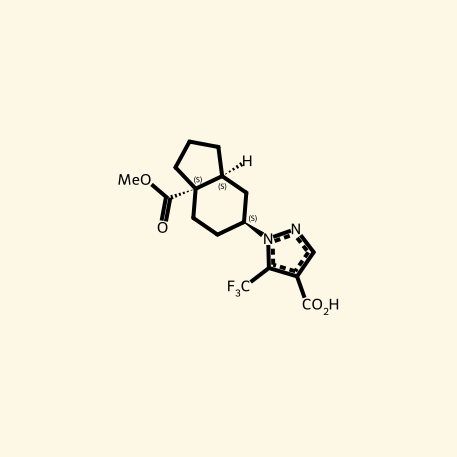 COC(=O)[C@]12CCC[C@H]1C[C@@H](n1ncc(C(=O)O)c1C(F)(F)F)CC2